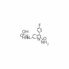 NC(=O)c1cc(-c2ccc(F)cc2)c2ccc(Cn3cc(C(=O)O)[nH]3)cc2n1